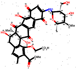 COC(=O)c1c(C)cc2c(c1OCC(=O)O)[C@]1(O)C(=O)c3cc4c(c(O)c3C(=O)[C@]1(OC)[C@H](O)C2)C(=O)C=C(NC1O[C@@H](C)[C@H](OC)[C@@H](O)[C@H]1CO)C4=O